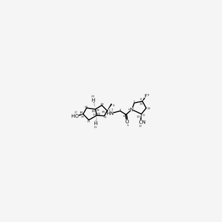 C[C@@]1(NCC(=O)N2C[C@@H](F)C[C@H]2C#N)C[C@H]2C[C@@H](O)C[C@H]2C1